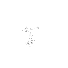 CC(C)(C)Nc1cc(COC(=O)C(C)(C)C)ccc1NC(=O)O[C@@H]1O[C@H](C(=O)O)[C@@H](O)[C@H](O)[C@H]1O